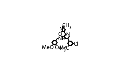 COc1ccc(CNC(=O)c2cc(-c3cc(C)cc(Cl)c3)cnc2-c2cnn(C)c2)cc1OC